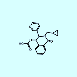 O=C(O)OC1c2ccccc2C(=O)N(CC2CC2)C1c1cccnc1